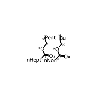 CCCCCCCC(=O)OCC(C)CCC.CCCCCCCCCC(=O)OCC(C)CC